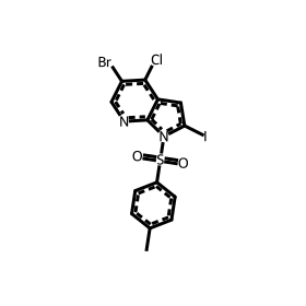 Cc1ccc(S(=O)(=O)n2c(I)cc3c(Cl)c(Br)cnc32)cc1